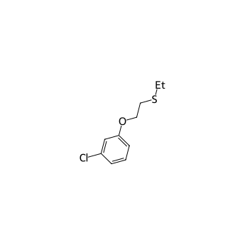 CCSCCOc1cccc(Cl)c1